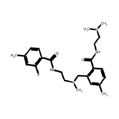 Cc1ccc(C(=O)NCCN(C)Cc2cc(C)ccc2C(=O)NCCN(C)C)c(F)c1